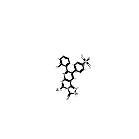 CC(C)(C)c1nc2nc(-c3ccccc3Cl)c(-c3ccc(S(C)(=O)=O)cc3)cc2c2n[nH]c(=O)n12